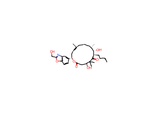 CCCC[C@H]1C(=O)C(C)(C)[C@@H](O)CC(=O)O[C@H](c2ccc3oc(CO)nc3c2)C/C=C(/C)CCC[C@H](C)[C@@H]1O